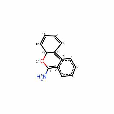 NC1=c2ccccc2=C2C=CC=CC2O1